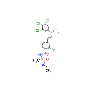 CC(NC(=O)c1ccc(C=CC(c2cc(Cl)c(Cl)c(Cl)c2)C(F)(F)F)cc1Br)C(=O)NCC(F)(F)F